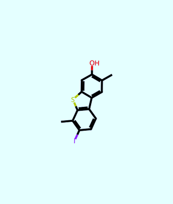 Cc1cc2c(cc1O)sc1c(C)c(I)ccc12